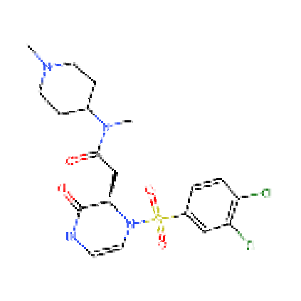 CN1CCC(N(C)C(=O)C[C@@H]2C(=O)NC=CN2S(=O)(=O)c2ccc(Cl)c(Cl)c2)CC1